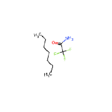 CCCCCCC.NC(=O)C(F)(F)F